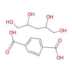 O=C(O)c1ccc(C(=O)O)cc1.OCC(O)CC(O)CO